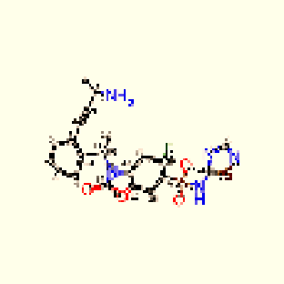 CC(N)C#Cc1ccccc1[C@@H](C)n1c(=O)oc2cc(S(=O)(=O)Nc3ncns3)c(F)cc21